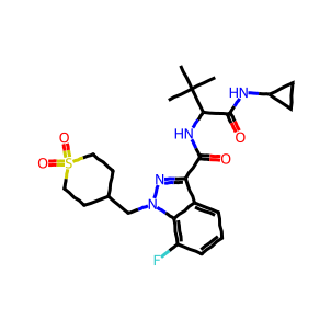 CC(C)(C)C(NC(=O)c1nn(CC2CCS(=O)(=O)CC2)c2c(F)cccc12)C(=O)NC1CC1